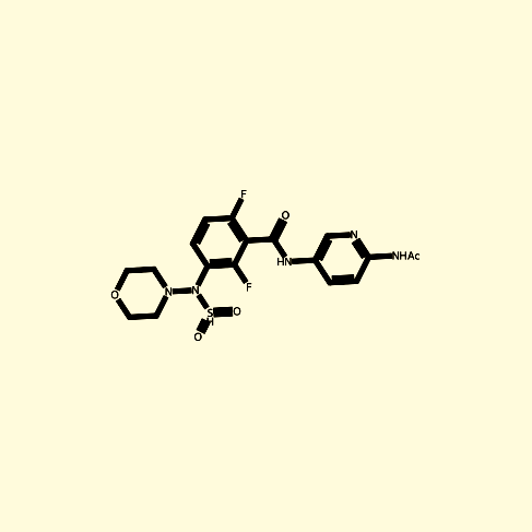 CC(=O)Nc1ccc(NC(=O)c2c(F)ccc(N(N3CCOCC3)[SH](=O)=O)c2F)cn1